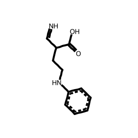 N=CC(CCNc1ccccc1)C(=O)O